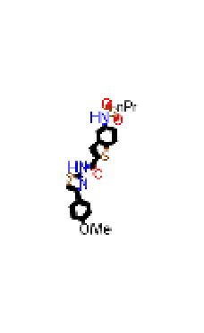 CCCS(=O)(=O)Nc1ccc2sc(C(=O)Nc3nc(-c4ccc(OC)cc4)cs3)cc2c1